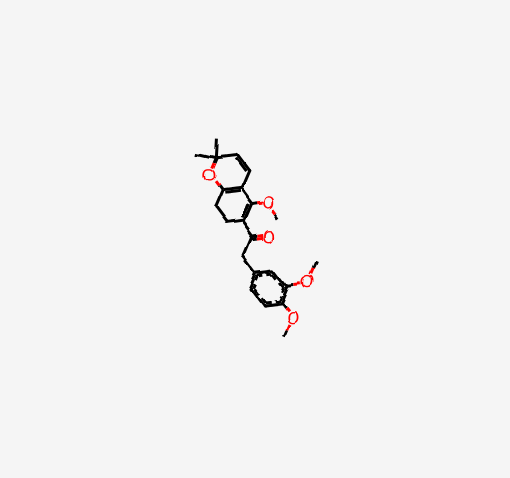 COC1=C(C(=O)Cc2ccc(OC)c(OC)c2)CCC2=C1C=CC(C)(C)O2